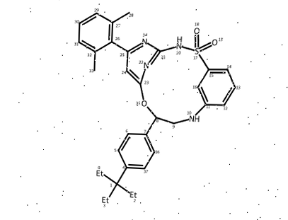 CCC(CC)(CC)c1ccc(C2CNc3cccc(c3)S(=O)(=O)Nc3nc(cc(-c4c(C)cccc4C)n3)O2)cc1